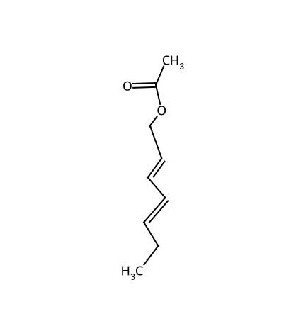 CC/C=C/C=C/COC(C)=O